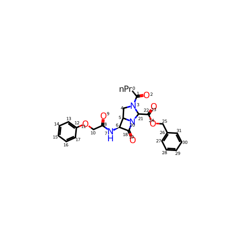 CCCC(=O)N1CC2[C@H](NC(=O)COc3ccccc3)C(=O)N2C1C(=O)OCc1ccccc1